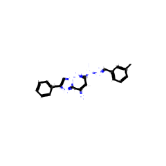 Cc1cccc(/C=N/Nc2cc(N)c3nc(-c4ccccc4)cn3n2)c1